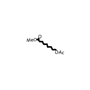 COC(=O)CCCCCCCCOC(C)=O